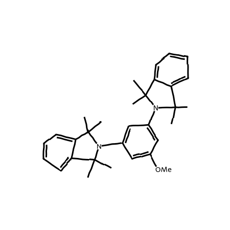 COc1cc(N2C(C)(C)c3ccccc3C2(C)C)cc(N2C(C)(C)c3ccccc3C2(C)C)c1